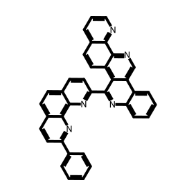 c1ccc(-c2ccc3ccc4ccc(-c5nc6ccccc6c6cnc7c(ccc8cccnc87)c56)nc4c3n2)cc1